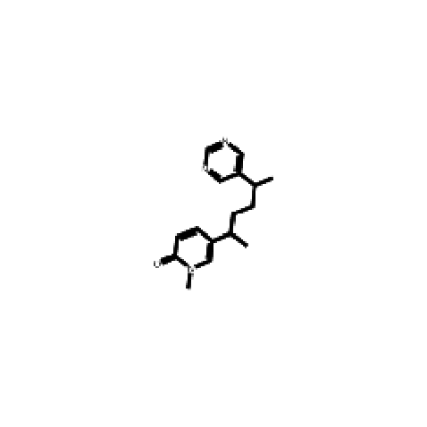 CC(CCC(C)c1ccc(=O)n(C)c1)c1cncnc1